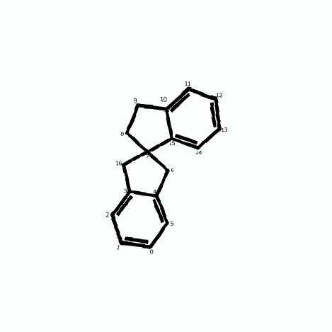 c1ccc2c(c1)CC1(CCc3ccccc31)C2